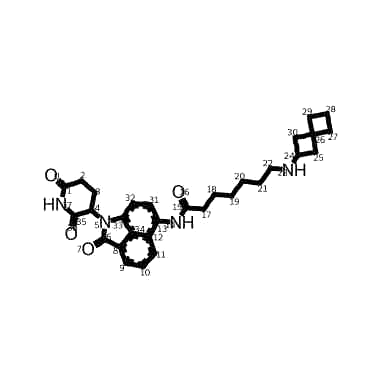 O=C1CCC(N2C(=O)c3cccc4c(NC(=O)CCCCCCNC5CC6(CCC6)C5)ccc2c34)C(=O)N1